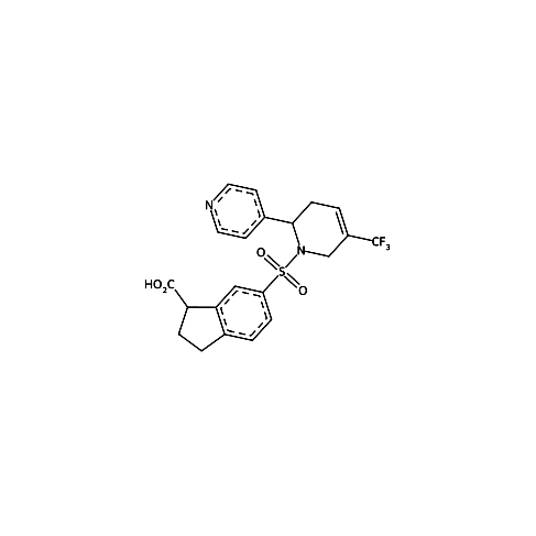 O=C(O)C1CCc2ccc(S(=O)(=O)N3CC(C(F)(F)F)=CCC3c3ccncc3)cc21